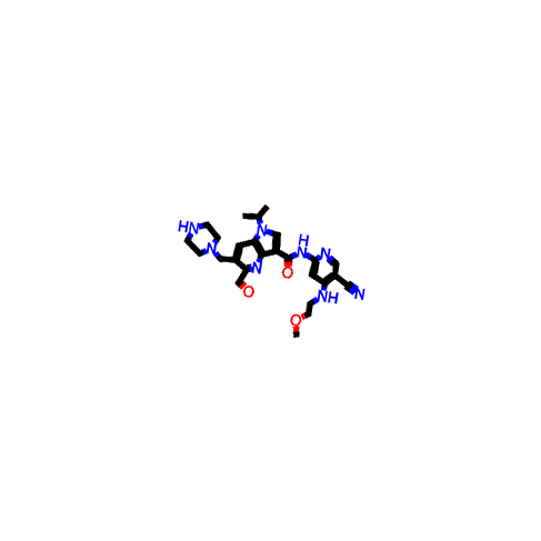 COCCNc1cc(NC(=O)c2cn(C(C)C)c3cc(CN4CCNCC4)c(C=O)nc23)ncc1C#N